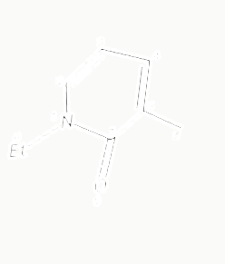 CCn1cccc(C)c1=O